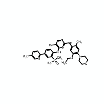 CCOc1cc(Nc2ncc(Br)c(Nc3ccc(-c4ccc(C)cn4)cc3P(C)(C)=O)n2)c(C)cc1N1CCOCC1